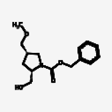 COC[C@H]1C[C@@H](CO)N(C(=O)OCc2ccccc2)C1